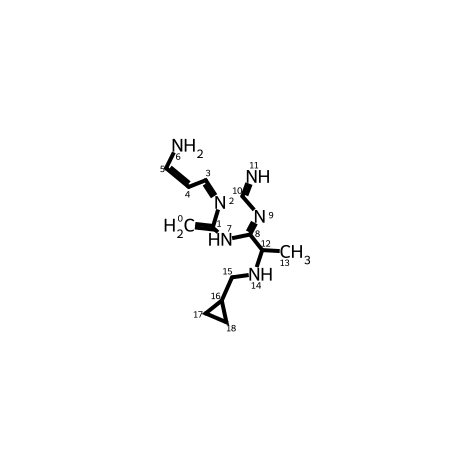 C=C(/N=C\C=C/N)N/C(=N\C=N)C(C)NCC1CC1